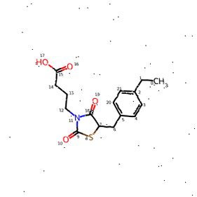 CCc1ccc(CC2SC(=O)N(CCCC(=O)O)C2=O)cc1